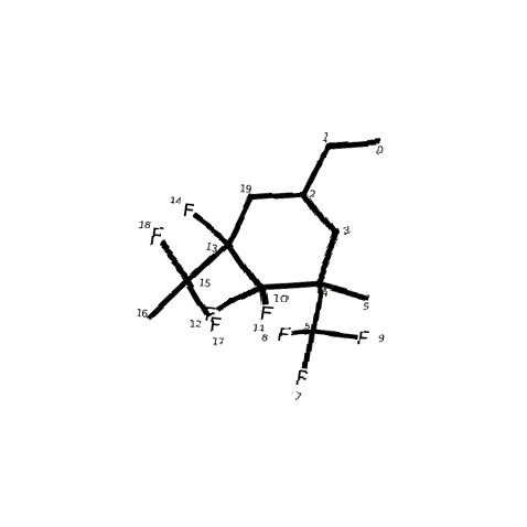 CCC1CC(C)(C(F)(F)F)C(F)(F)C(F)(C(C)(F)F)C1